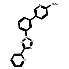 COc1ccc(-c2cccc(-n3nnc(-c4ccccn4)n3)c2)cn1